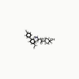 C=C(/C=N\c1c(-c2ccc(C)cc2)ccc(CC)c1C)NC(=O)N1CCC(C)(O)CC1